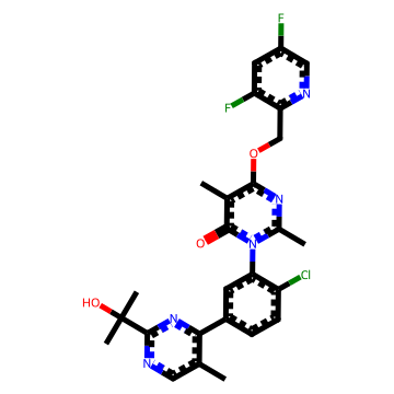 Cc1cnc(C(C)(C)O)nc1-c1ccc(Cl)c(-n2c(C)nc(OCc3ncc(F)cc3F)c(C)c2=O)c1